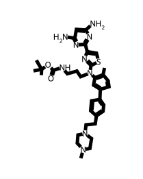 Cc1ccc(-c2ccc(CCN3CCN(C)CC3)cc2)cc1N(CCCNC(=O)OC(C)(C)C)c1nc(-c2nc(N)cc(N)n2)cs1